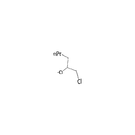 CCCCC([O])CCl